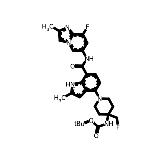 Cc1cn2cc(NC(=O)c3ccc(N4CCC(CF)(NC(=O)OC(C)(C)C)CC4)c4cc(C)[nH]c34)cc(F)c2n1